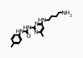 Cc1ccc(NC(=O)Nc2nc(C)cc(NCCCCN)n2)cc1